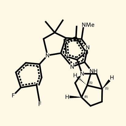 CNc1nc(N[C@@H]2[C@@H]3CC[C@H]2CN(c2nnc(C)o2)C3)nc2c1C(C)(C)CN2c1ccc(F)c(F)c1